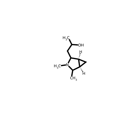 CC(O)CC1[C@H]2C[C@H]2C(C)N1C